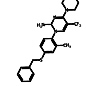 Cc1cc(SCc2ccccc2)ccc1N1C=C(C(F)(F)F)C(N2CCCCC2)=NC1N